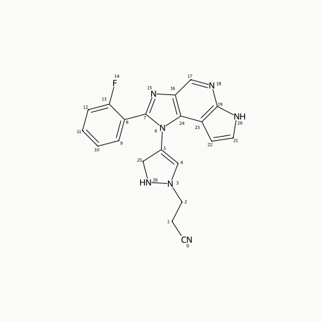 N#CCCN1C=C(n2c(-c3ccccc3F)nc3cnc4[nH]ccc4c32)CN1